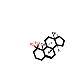 C[C@@]12CCC[C@H]1[C@@H]1CC=C3CCCC(O)(O)[C@]3(C)[C@H]1CC2